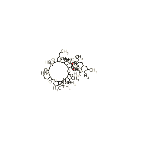 CCCCC1C(=O)N(O)CC(=O)N2NCCCC2C(=O)N2CCC(C)(OC)C2C(=O)N(O)C(C(C)C)C(=O)OC(C(C)C)C(NC(=O)C(C)(OC)C2(OC)CCC(CC(C)C)C(CC)O2)C(=O)N1C